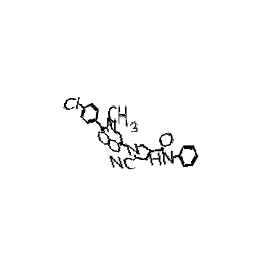 CN(CC(=O)N1CC(C(=O)Nc2ccccc2)C[C@H]1C#N)C(=O)c1ccc(Cl)cc1